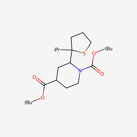 CC(C)C1(C2CC(C(=O)OC(C)(C)C)CCN2C(=O)OC(C)(C)C)CCCS1